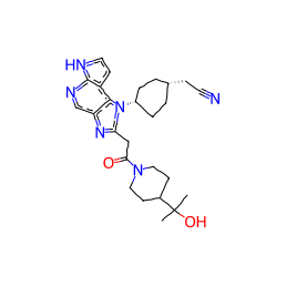 CC(C)(O)C1CCN(C(=O)Cc2nc3cnc4[nH]ccc4c3n2[C@H]2CC[C@@H](CC#N)CC2)CC1